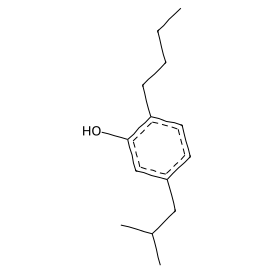 CCCCc1ccc(CC(C)C)cc1O